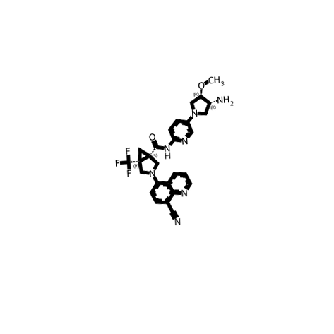 CO[C@@H]1CN(c2ccc(NC(=O)[C@]34CN(c5ccc(C#N)c6ncccc56)C[C@@]3(C(F)(F)F)C4)nc2)C[C@H]1N